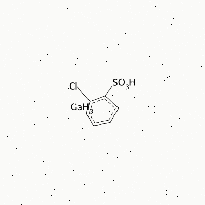 O=S(=O)(O)c1ccccc1Cl.[GaH3]